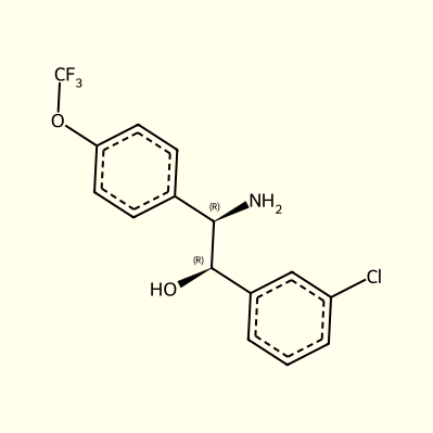 N[C@H](c1ccc(OC(F)(F)F)cc1)[C@H](O)c1cccc(Cl)c1